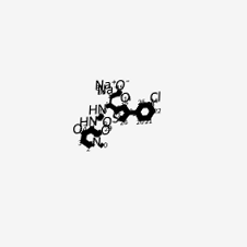 Cn1ccc([O-])c(NC(=O)N[C@@H](CC(=O)[O-])c2cc(-c3cccc(Cl)c3)cs2)c1=O.[Na+].[Na+]